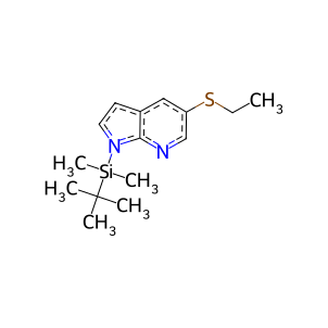 CCSc1cnc2c(ccn2[Si](C)(C)C(C)(C)C)c1